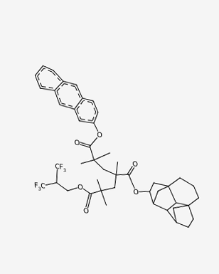 CC(C)(CC(C)(CC(C)(C)C(=O)Oc1ccc2cc3ccccc3cc2c1)C(=O)OC1CC23CCCC45CCC(C4)C(C1C2)C53)C(=O)OCC(C(F)(F)F)C(F)(F)F